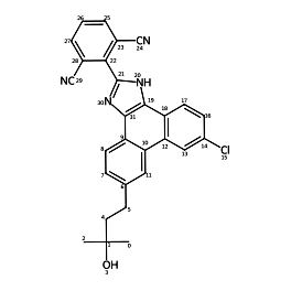 CC(C)(O)CCc1ccc2c(c1)c1cc(Cl)ccc1c1[nH]c(-c3c(C#N)cccc3C#N)nc21